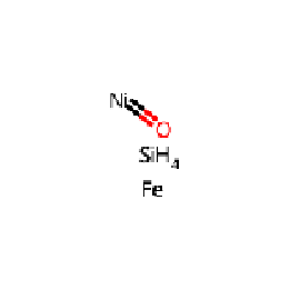 [Fe].[O]=[Ni].[SiH4]